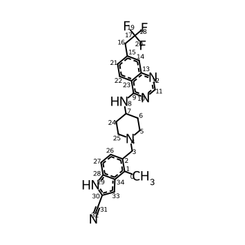 Cc1c(CN2CCC(Nc3ncnc4cc(CC(F)(F)F)ccc34)CC2)ccc2[nH]c(C#N)cc12